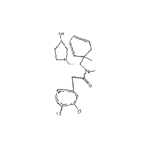 CN(C(=O)Cc1ccc(Cl)c(Cl)c1)[C@H](CN1CCC(O)C1)C1(C)C=CC=CC1